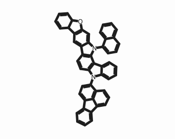 C1=CC2Oc3cc4c(cc3C2C=C1)c1ccc2c(c3ccccc3n2-c2ccc3c5c(cccc25)-c2ccccc2-3)c1n4-c1cccc2ccccc12